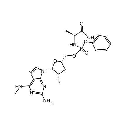 CNc1nc(N)nc2c1ncn2[C@@H]1O[C@H](CO[P@@](=O)(N[C@@H](C)C(=O)O)Oc2ccccc2)C[C@@H]1C